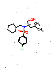 CC(C)C[C@H](CO)N(CC1CCCCC1)S(=O)(=O)c1ccc(Cl)cc1